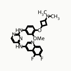 COc1cc(Nc2nccc(Nc3cnc4ccc(F)c(F)c4c3)n2)ccc1OC1CC(N(C)C)C1